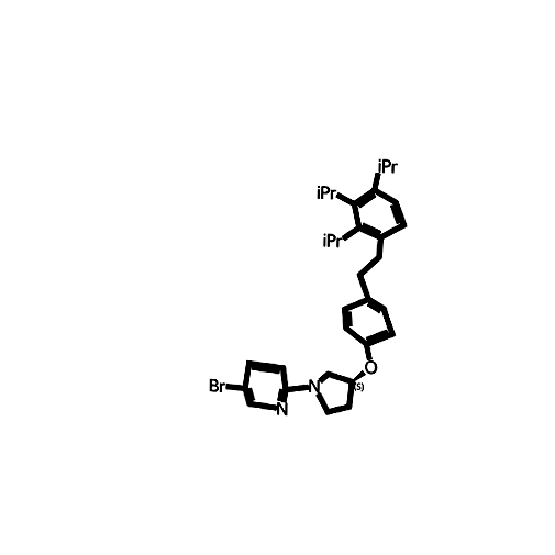 CC(C)c1ccc(CCc2ccc(O[C@H]3CCN(c4ccc(Br)cn4)C3)cc2)c(C(C)C)c1C(C)C